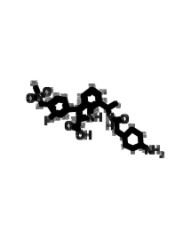 CC(NC(=O)CC1CCC(N)CC1)c1cccc2c(-c3ccc(CS(C)(=O)=O)c(F)c3)c(C(=O)O)[nH]c12